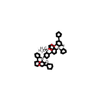 C[Si]1(C)c2cc(N(c3ccccc3-c3ccccc3)c3cccc4c3oc3ccccc34)ccc2-c2ccc(N(c3ccccc3)c3c(F)cc(-c4ccccc4)cc3-c3ccccc3)c3cccc1c23